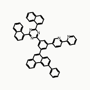 c1ccc(-c2ccc3c(-c4cc(-c5ccc(-c6ccccn6)nc5)cc(-c5nc(-c6cccc7ccccc67)nc(-c6cccc7ccccc67)n5)c4)cc4ccccc4c3c2)cc1